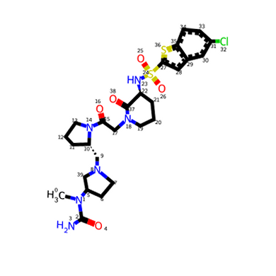 CN(C(N)=O)C1CCN(C[C@@H]2CCCN2C(=O)CN2CCC[C@H](NS(=O)(=O)c3cc4cc(Cl)ccc4s3)C2=O)C1